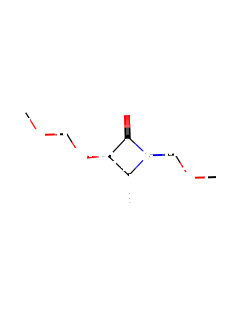 [CH2][C@@H]1[C@@H](OCOC)C(=O)N1COC